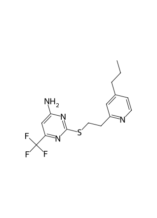 CCCc1ccnc(CCSc2nc(N)cc(C(F)(F)F)n2)c1